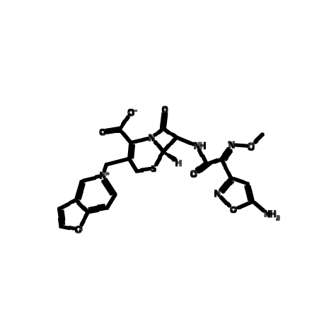 CON=C(C(=O)NC1C(=O)N2C(C(=O)[O-])=C(C[n+]3ccc4occc4c3)CS[C@@H]12)c1cc(N)on1